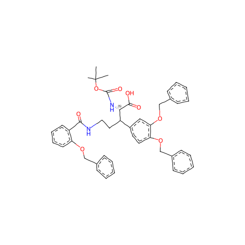 CC(C)(C)OC(=O)N[C@H](C(=O)O)C(CCNC(=O)c1ccccc1OCc1ccccc1)c1ccc(OCc2ccccc2)c(OCc2ccccc2)c1